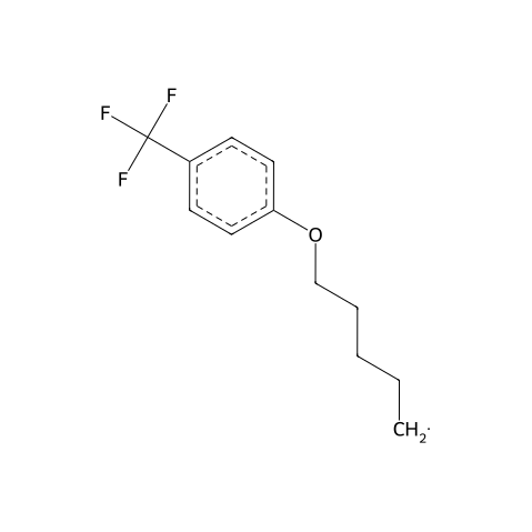 [CH2]CCCCOc1ccc(C(F)(F)F)cc1